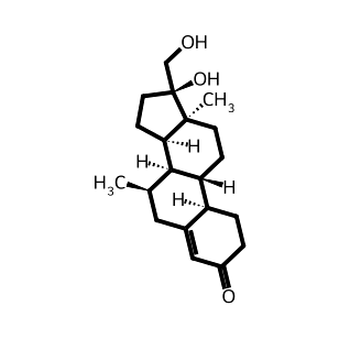 C[C@@H]1CC2=CC(=O)CC[C@@H]2[C@H]2CC[C@@]3(C)[C@H](CC[C@]3(O)CO)[C@@H]21